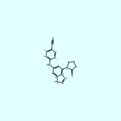 N#Cc1cnc(Nc2cc(N3CCCC3=O)c3nc[nH]c3c2)nc1